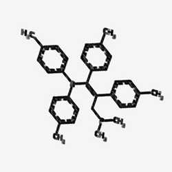 Cc1ccc(B(/C(=C(\CP(C)C)c2ccc(C)cc2)c2ccc(C)cc2)c2ccc(C)cc2)cc1